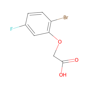 O=C(O)COc1cc(F)ccc1Br